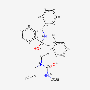 CC(C)CCN(CCCC(O)(c1ccccc1)N(Cc1ccccc1)Cc1ccccc1)C(=O)NC(C)(C)C